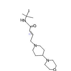 CC(C)(I)NC(=O)/C=C/CN1CCC(N2CCOCC2)CC1